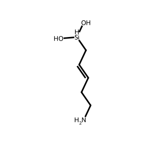 NCCC=CC[SiH](O)O